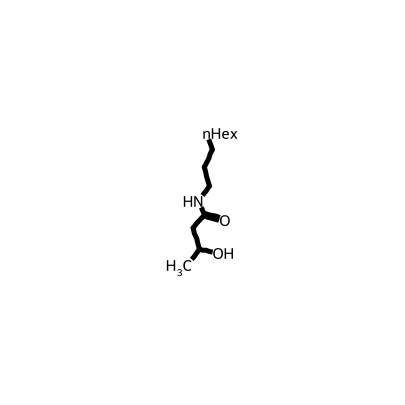 CCCCCCCCCNC(=O)CC(C)O